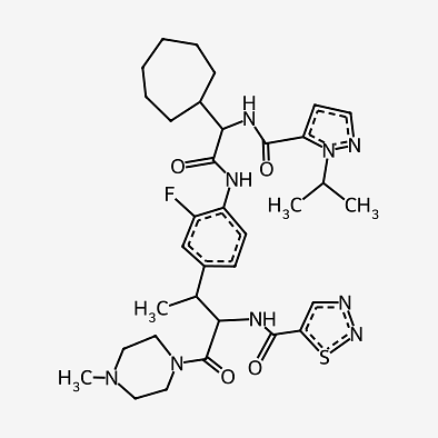 CC(c1ccc(NC(=O)C(NC(=O)c2ccnn2C(C)C)C2CCCCCC2)c(F)c1)C(NC(=O)c1cnns1)C(=O)N1CCN(C)CC1